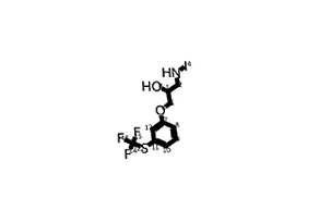 OC(CNI)COc1cccc(SC(F)(F)F)c1